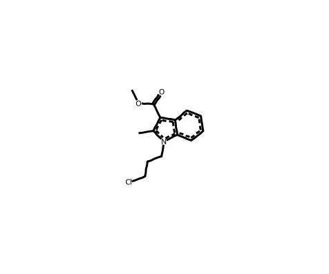 COC(=O)c1c(C)n(CCCCl)c2ccccc12